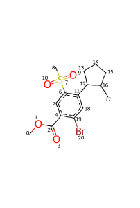 COC(=O)c1cc(S(C)(=O)=O)c(C2CCCC2C)cc1Br